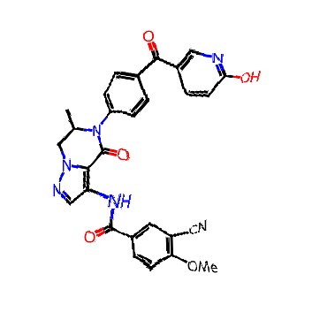 COc1ccc(C(=O)Nc2cnn3c2C(=O)N(c2ccc(C(=O)c4ccc(O)nc4)cc2)C(C)C3)cc1C#N